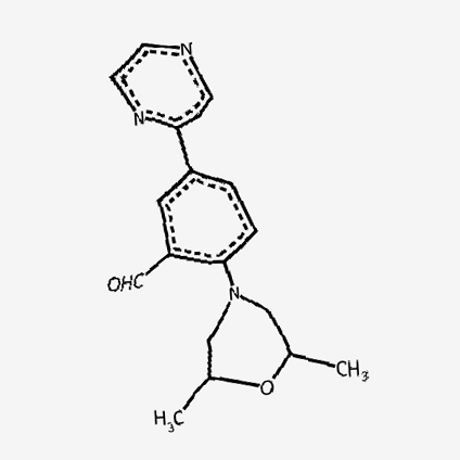 CC1CN(c2ccc(-c3cnccn3)cc2C=O)CC(C)O1